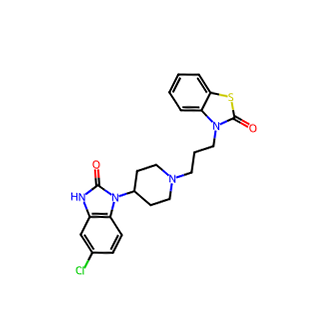 O=c1sc2ccccc2n1CCCN1CCC(n2c(=O)[nH]c3cc(Cl)ccc32)CC1